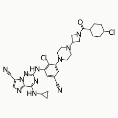 N#Cc1cc(Nc2nc(NC3CC3)c3ncc(C#N)n3n2)c(Cl)c(N2CCN(C3CN(C(=O)C4CCC(Cl)CC4)C3)CC2)c1